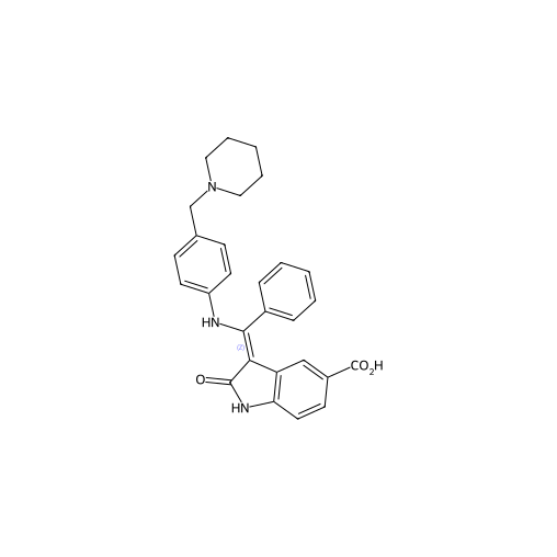 O=C1Nc2ccc(C(=O)O)cc2/C1=C(/Nc1ccc(CN2CCCCC2)cc1)c1ccccc1